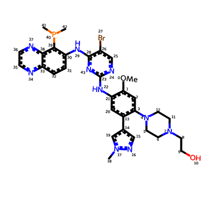 COc1cc(N2CCN(CCO)CC2)c(-c2cnn(C)c2)cc1Nc1ncc(Br)c(Nc2ccc3nccnc3c2P(C)C)n1